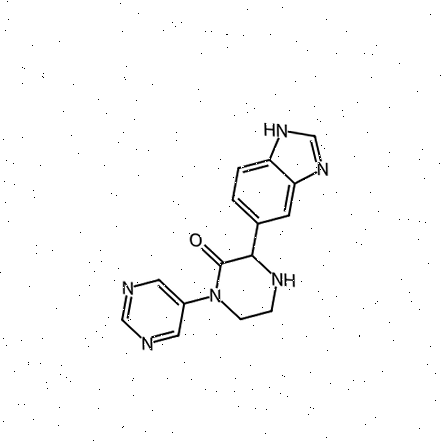 O=C1C(c2ccc3[nH]cnc3c2)NCCN1c1cncnc1